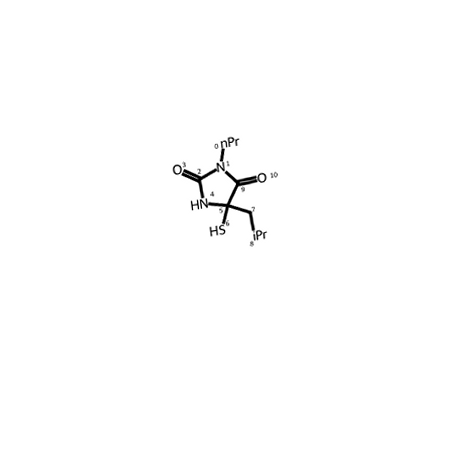 CCCN1C(=O)NC(S)(CC(C)C)C1=O